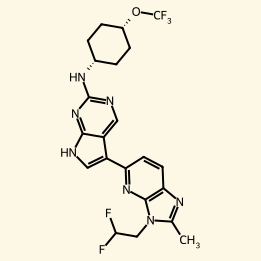 Cc1nc2ccc(-c3c[nH]c4nc(N[C@H]5CC[C@@H](OC(F)(F)F)CC5)ncc34)nc2n1CC(F)F